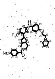 N#Cc1ccc(C(=O)N2CCc3oc(-c4nc(Nc5ccc(OCCN6CCCC6)cc5)ncc4C(F)(F)F)cc3C2)cc1